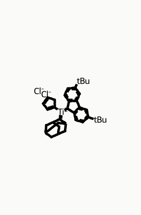 CC(C)(C)c1ccc2c(c1)-c1cc(C(C)(C)C)ccc1[CH]2[Ti+2]([C]1=CC=CC1)=[C]1C2CC3CC(C2)CC1C3.[Cl-].[Cl-]